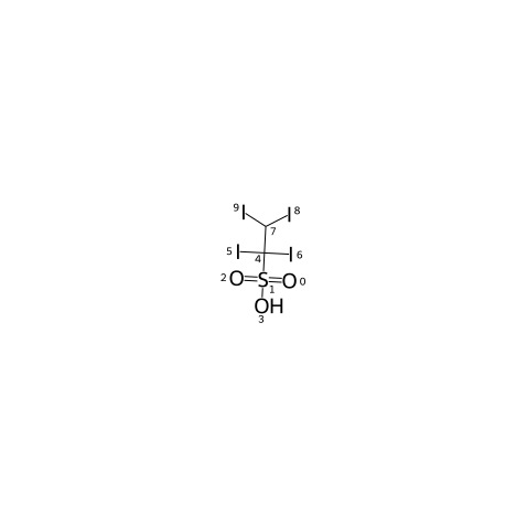 O=S(=O)(O)C(I)(I)C(I)I